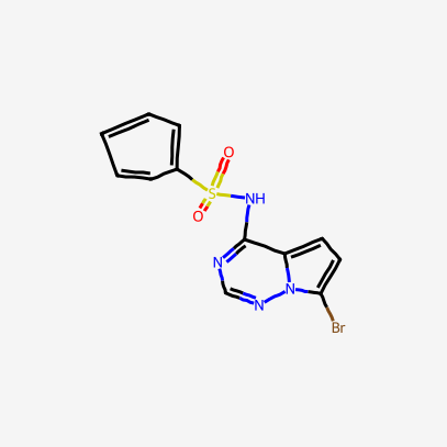 O=S(=O)(Nc1ncnn2c(Br)ccc12)c1ccccc1